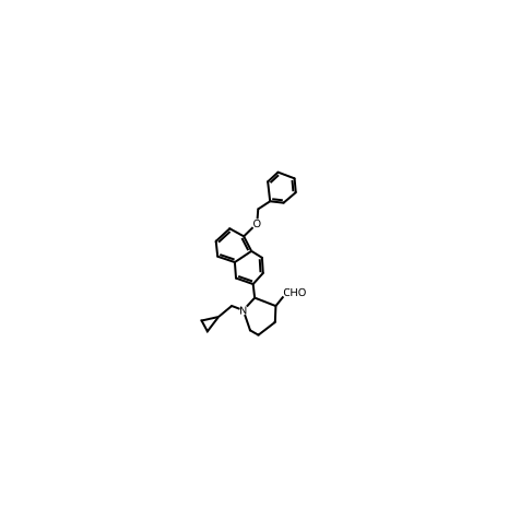 O=CC1CCCN(CC2CC2)C1c1ccc2c(OCc3ccccc3)cccc2c1